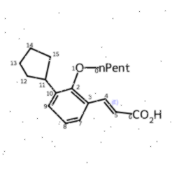 CCCCCOc1c(/C=C/C(=O)O)cccc1C1CCCC1